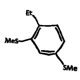 [CH2]Cc1ccc(SC)cc1SC